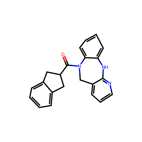 O=C(C1Cc2ccccc2C1)N1Cc2cccnc2Nc2ccccc21